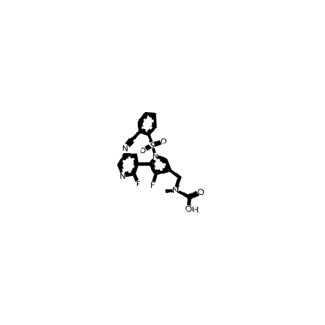 CN(Cc1cn(S(=O)(=O)c2ccccc2C#N)c(-c2cccnc2F)c1F)C(=O)O